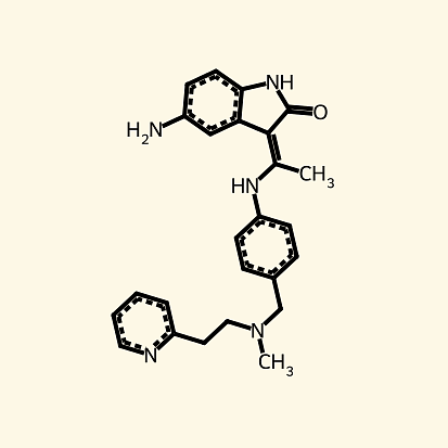 CC(Nc1ccc(CN(C)CCc2ccccn2)cc1)=C1C(=O)Nc2ccc(N)cc21